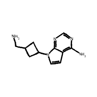 NCC1CC(n2ccc3c(N)ncnc32)C1